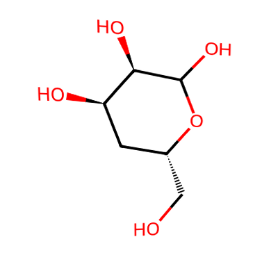 OC[C@@H]1C[C@@H](O)[C@@H](O)C(O)O1